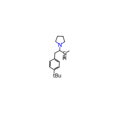 C[SiH](C)C(Cc1ccc(C(C)(C)C)cc1)N1CCCC1